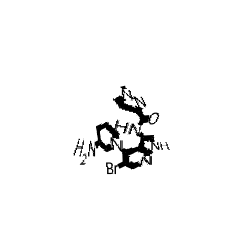 Cn1ccc(C(=O)Nc2c[nH]c3ncc(Br)c(N4CCCC(N)C4)c23)n1